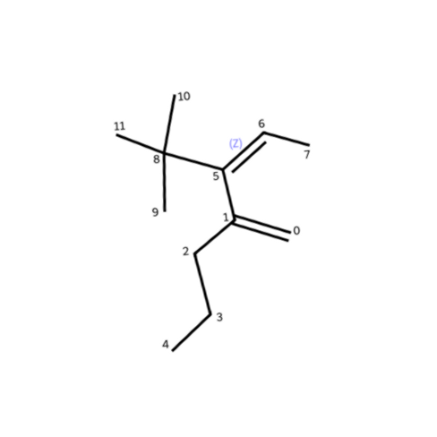 C=C(CCC)/C(=C\C)C(C)(C)C